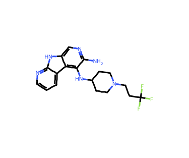 Nc1ncc2[nH]c3ncccc3c2c1NC1CCN(CCC(F)(F)F)CC1